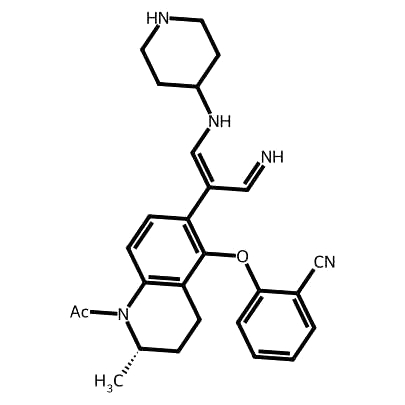 CC(=O)N1c2ccc(/C(C=N)=C/NC3CCNCC3)c(Oc3ccccc3C#N)c2CC[C@@H]1C